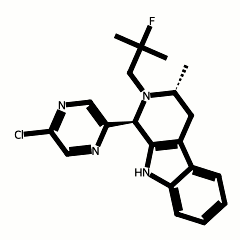 C[C@@H]1Cc2c([nH]c3ccccc23)[C@@H](c2cnc(Cl)cn2)N1CC(C)(C)F